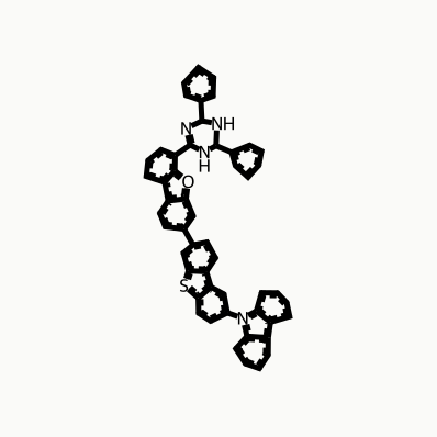 c1ccc(C2N=C(c3cccc4c3oc3cc(-c5ccc6c(c5)sc5ccc(-n7c8ccccc8c8ccccc87)cc56)ccc34)NC(c3ccccc3)N2)cc1